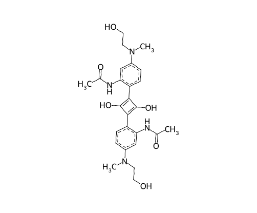 CC(=O)Nc1cc(N(C)CCO)ccc1C1=C(O)C(c2ccc(N(C)CCO)cc2NC(C)=O)=C1O